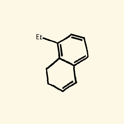 CCc1cccc2c1CCC=C2